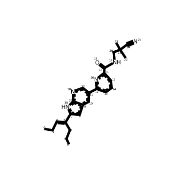 CC/C=C(\CCC)c1cc2cc(-c3cccc(C(=O)NCC(C)(C)C#N)n3)cnc2[nH]1